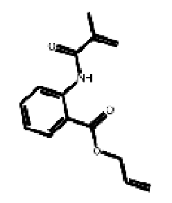 C=CCOC(=O)c1ccccc1NC(=O)C(=C)C